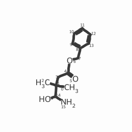 CC(C)(CC(=O)OCc1ccccc1)C(N)O